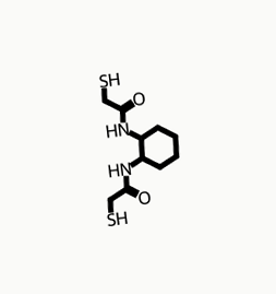 O=C(CS)NC1CCCCC1NC(=O)CS